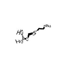 CCCCCCSCOB(O)O